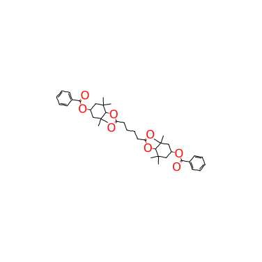 CC1(C)CC(OC(=O)c2ccccc2)CC(C)(C)C1OC(=O)CCCCC(=O)OC1C(C)(C)CC(OC(=O)c2ccccc2)CC1(C)C